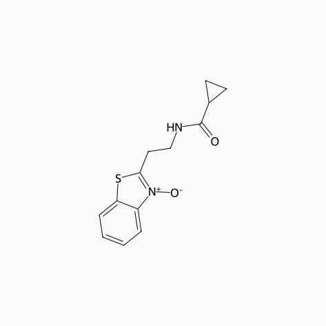 O=C(NCCc1sc2ccccc2[n+]1[O-])C1CC1